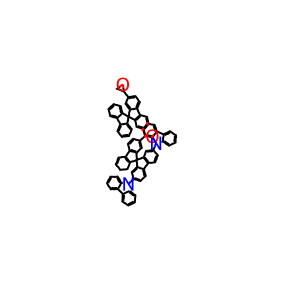 O=C(c1ccc2c(c1)C1(C3=C2C=CCC3)c2cc(-n3c4ccccc4c4ccccc43)ccc2-c2ccc(-n3c4ccccc4c4ccccc43)cc21)c1ccc2c(c1)C1(c3ccccc3-c3ccccc31)c1cc(C3CO3)ccc1-2